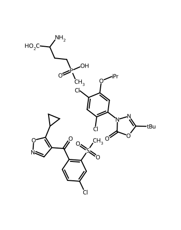 CC(C)Oc1cc(-n2nc(C(C)(C)C)oc2=O)c(Cl)cc1Cl.CP(=O)(O)CCC(N)C(=O)O.CS(=O)(=O)c1cc(Cl)ccc1C(=O)c1cnoc1C1CC1